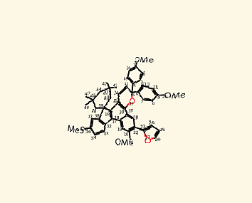 COc1ccc(C2(c3ccc(OC)cc3)C=Cc3c4c(c5cc(OC)c(-c6ccco6)cc5c3O2)-c2ccc(SC)cc2C42CC(C)(C)CC(C)(C)C2)cc1